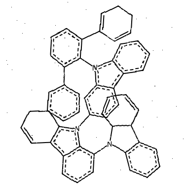 C1=CC2c3ccccc3N(c3cccc4c5c(n(-c6ccc7c8ccccc8n(-c8c(C9=CCCC=C9)cccc8-c8ccccc8)c7c6)c34)CCC=C5)C2C=C1